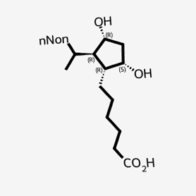 CCCCCCCCCC(C)[C@@H]1[C@@H](CCCCCC(=O)O)[C@@H](O)C[C@H]1O